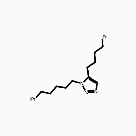 CC(C)CCCCCn1nncc1CCCCC(C)C